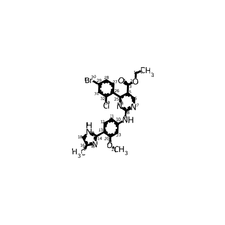 CCOC(=O)c1cnc(Nc2ccc(-c3nc(C)c[nH]3)c(OC)c2)nc1-c1ccc(Br)cc1Cl